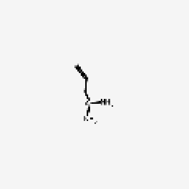 C=C[CH2][Al]([NH2])[NH2]